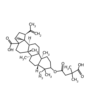 C=C(C)[C@@H]1CCC2(C(=O)O)CC[C@]3(C)[C@H](CCC4[C@@]5(C)CCC(OC(=O)CC(C)(C)C(=O)O)C(C)(C)[C@@H]5CC[C@]43C)[C@@H]12